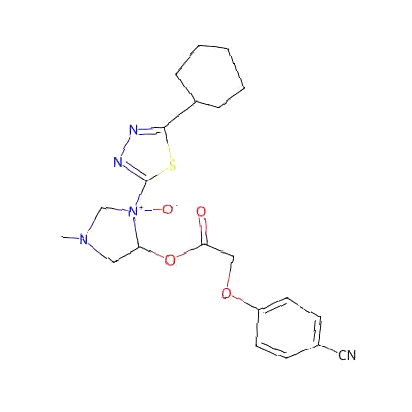 CN1CC(OC(=O)COc2ccc(C#N)cc2)[N+]([O-])(c2nnc(C3CCCCC3)s2)C1